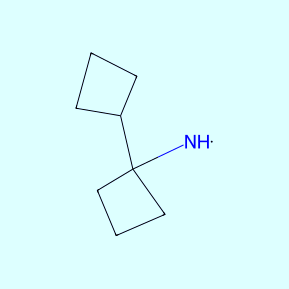 [NH]C1(C2CCC2)CCC1